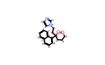 c1ccc2c(C3(CCn4ccnc4)CCCOO3)cccc2c1